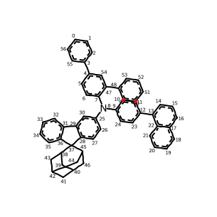 c1ccc(-c2ccc(N(c3ccc(-c4cccc5ccccc45)cc3)c3ccc4c(c3)-c3ccccc3C43C4CC5CC(C4)CC3C5)c(-c3ccccc3)c2)cc1